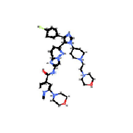 C=N/C(=C\C(=C/C)C(=O)Nc1cn2nc(-c3c(-c4ccc(F)cc4)ncn3C3CCN(CCN4CCOCC4)CC3)ccc2n1)N1CCOCC1